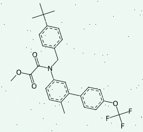 COC(=O)C(=O)N(Cc1ccc(C(C)(C)C)cc1)c1ccc(C)c(-c2ccc(OC(F)(F)F)cc2)c1